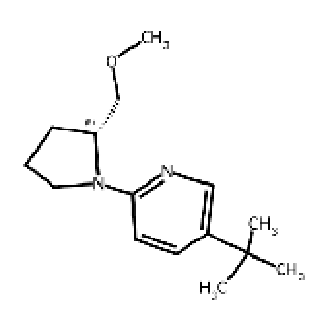 COC[C@H]1CCCN1c1ccc(C(C)(C)C)cn1